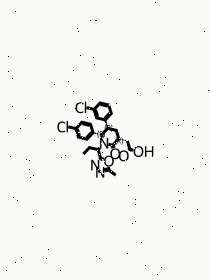 CCC(c1nnc(C)o1)N1C(=O)[C@@H](CC(=O)O)C[C@H](c2cccc(Cl)c2)[C@H]1c1ccc(Cl)cc1